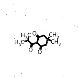 CC(C)C(=O)C1C(=O)CC(C)(C)CC1=O